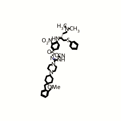 COC1(Cc2ccccc2F)CCC(N2CCN(/C(=N/S(=O)(=O)c3ccc(N[C@H](CCN(C)C)CSc4ccccc4)c([N+](=O)[O-])c3)NC#N)CC2)CC1